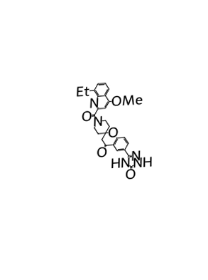 CCc1cccc2c(OC)cc(C(=O)N3CCC4(CC3)CC(=O)c3cc(-c5n[nH]c(=O)[nH]5)ccc3O4)nc12